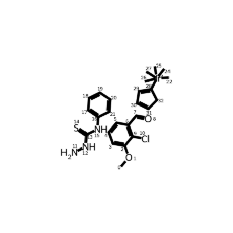 COc1cccc(C=O)c1Cl.NNC(=S)Nc1ccccc1.[CH3][Ir]([CH3])([CH3])([CH3])([CH3])[C]1=CC=CC1